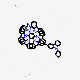 c1ccc(-n2c3ccccc3c3cc(-c4ccc5c(c4)c4ccccc4n5-c4c(-n5c6ccccc6c6ccccc65)c(-n5c6ccccc6c6ccccc65)c(-n5cnc6ccccc65)c(-n5c6ccccc6c6ccccc65)c4-n4c5ccccc5c5ccccc54)ccc32)cc1